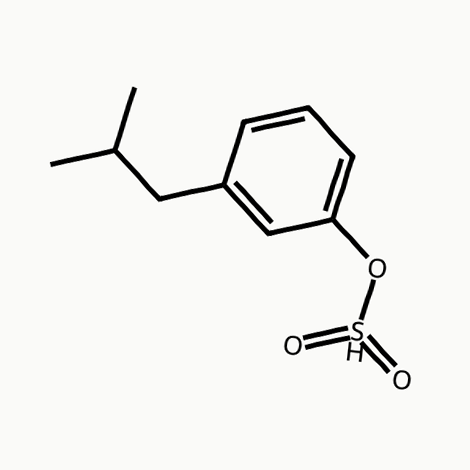 CC(C)Cc1cccc(O[SH](=O)=O)c1